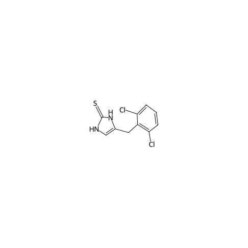 S=c1[nH]cc(Cc2c(Cl)cccc2Cl)[nH]1